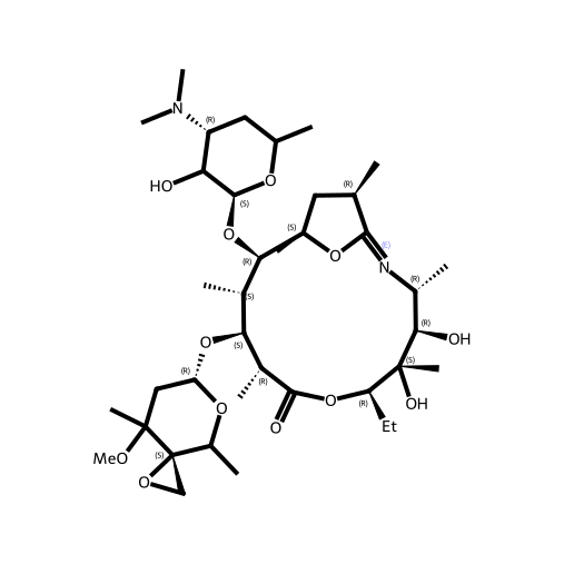 CC[C@H]1OC(=O)[C@H](C)[C@@H](O[C@H]2CC(C)(OC)[C@]3(CO3)C(C)O2)[C@H](C)[C@@H](O[C@@H]2OC(C)C[C@@H](N(C)C)C2O)[C@]2(C)C[C@@H](C)/C(=N\[C@H](C)[C@@H](O)[C@]1(C)O)O2